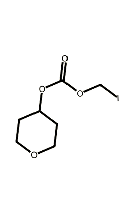 O=C(OCI)OC1CCOCC1